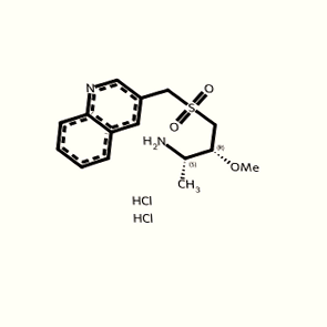 CO[C@@H](CS(=O)(=O)Cc1cnc2ccccc2c1)[C@H](C)N.Cl.Cl